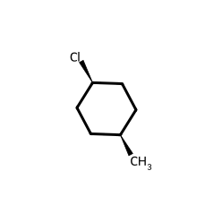 C[C@H]1CC[C@@H](Cl)CC1